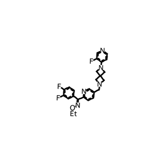 CCON=C(c1ccc(F)c(F)c1)c1ccc(CN2CC3(C2)CN(c2ccncc2F)C3)cn1